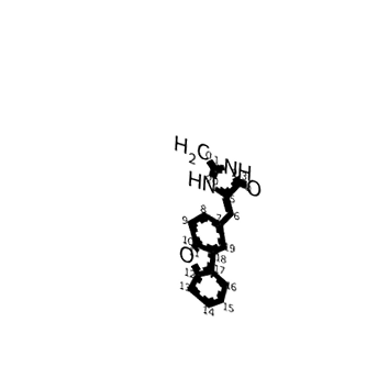 C=c1[nH]c(=O)/c(=C/c2ccc3oc4ccccc4c3c2)[nH]1